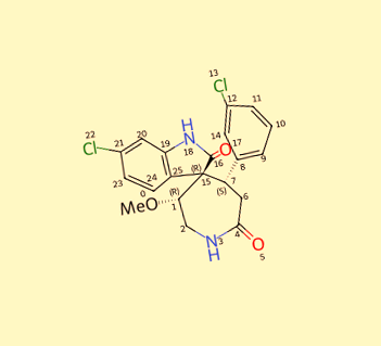 CO[C@H]1CNC(=O)C[C@@H](c2cccc(Cl)c2)[C@]12C(=O)Nc1cc(Cl)ccc12